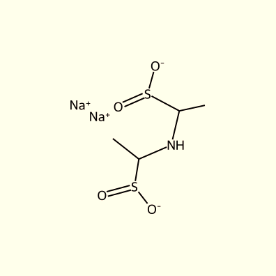 CC(NC(C)S(=O)[O-])S(=O)[O-].[Na+].[Na+]